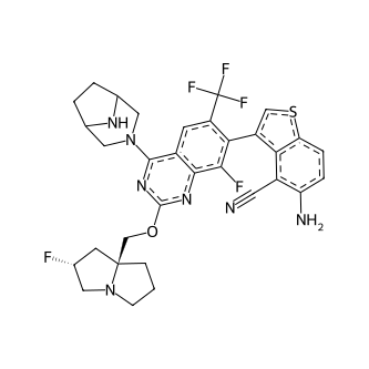 N#Cc1c(N)ccc2scc(-c3c(C(F)(F)F)cc4c(N5CC6CCC(C5)N6)nc(OC[C@@]56CCCN5C[C@H](F)C6)nc4c3F)c12